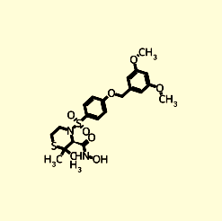 COc1cc(COc2ccc(S(=O)(=O)N3CCSC(C)(C)[C@@H]3C(=O)NO)cc2)cc(OC)c1